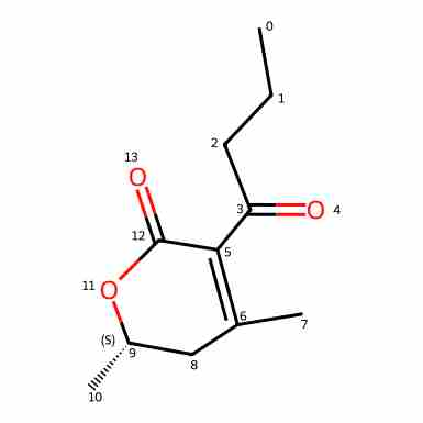 CCCC(=O)C1=C(C)C[C@H](C)OC1=O